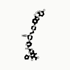 CC(=O)c1c(C)c2cnc(Nc3ccc(N4CCN(CCN5CCN(c6ccc7c(c6)CN(C6CCC(=O)NC6=O)C7=O)CC5)CC4)cn3)nc2n(C2CCCC2)c1=O.Cl.Cl